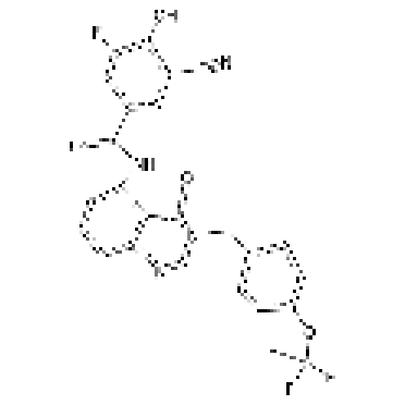 N#Cc1cc(C(=O)Nc2cccc3ncn(Cc4ccc(OC(F)(F)F)cc4)c(=O)c23)cc(F)c1O